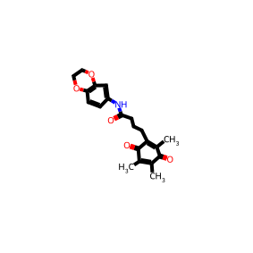 CC1=C(C)C(=O)C(CCCC(=O)Nc2ccc3c(c2)OCCO3)=C(C)C1=O